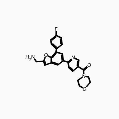 NCc1cc2cc(-c3ccc(C(=O)N4CCOCC4)cn3)cc(-c3ccc(F)cc3)c2o1